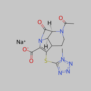 CC(=O)N1CCC2C(Sc3nnnn3C)=C(C(=O)[O-])N3C(=O)[C@@H]1[C@@H]23.[Na+]